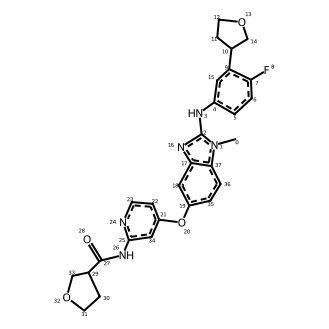 Cn1c(Nc2ccc(F)c(C3CCOC3)c2)nc2cc(Oc3ccnc(NC(=O)C4CCOC4)c3)ccc21